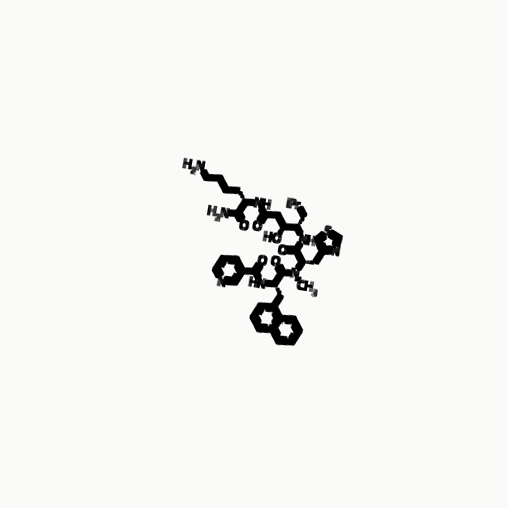 CC(C)C[C@H](NC(=O)[C@H](Cc1cscn1)N(C)C(=O)[C@H](Cc1cccc2ccccc12)NC(=O)c1cccnc1)[C@@H](O)CC(=O)N[C@@H](CCCCN)C(N)=O